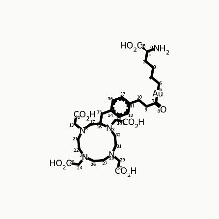 N[C@@H](CCC[CH2][Au][C](=O)CCc1ccc(CC2CN(CC(=O)O)CCN(CC(=O)O)CCN(CC(=O)O)CCN2CC(=O)O)cc1)C(=O)O